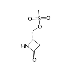 CS(=O)(=O)OC[C@@H]1CC(=O)N1